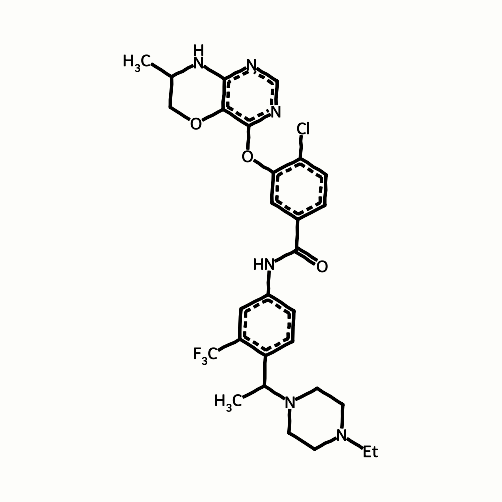 CCN1CCN(C(C)c2ccc(NC(=O)c3ccc(Cl)c(Oc4ncnc5c4OCC(C)N5)c3)cc2C(F)(F)F)CC1